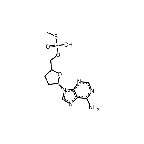 CSP(=O)(O)OC[C@@H]1CC[C@H](n2cnc3c(N)ncnc32)O1